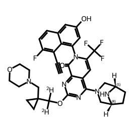 [2H]C([2H])(Oc1nc(N2C[C@H]3CC[C@@H](C2)N3)c2cc(C(F)(F)F)n(-c3cc(O)cc4ccc(F)c(C#C)c34)c(=O)c2n1)C1(CN2CCOCC2)CC1